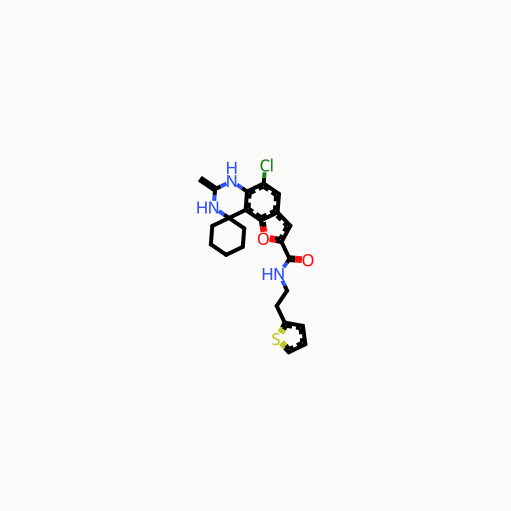 C=C1Nc2c(Cl)cc3cc(C(=O)NCCc4cccs4)oc3c2C2(CCCCC2)N1